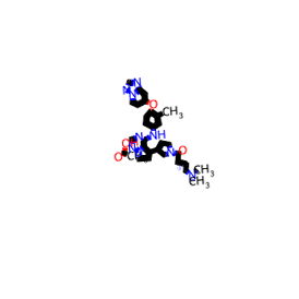 CC(=O)O.Cc1cc(Nc2ncnn3ccc(C4=CCN(C(=O)/C=C/CN(C)C)C4)c23)ccc1Oc1ccn2ncnc2c1